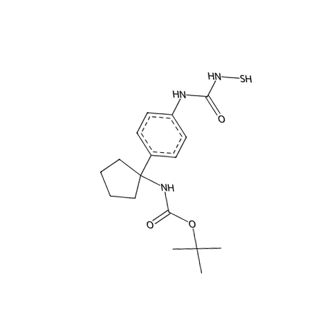 CC(C)(C)OC(=O)NC1(c2ccc(NC(=O)NS)cc2)CCCC1